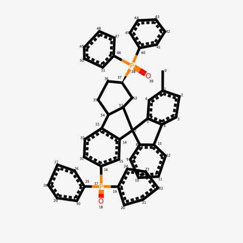 Cc1ccc2c(c1)C1(c3ccccc3-2)c2cc(P(=O)(c3ccccc3)c3ccccc3)ccc2C2CC[C@@H](P(=O)(c3ccccc3)c3ccccc3)CC21